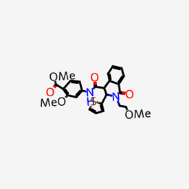 COCCN1C(=O)c2ccccc2C(C(=O)Nc2ccc(C(=O)OC)c(OC)c2)C1c1cccs1